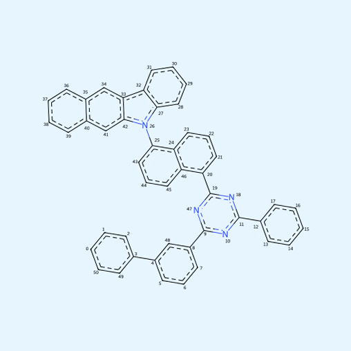 c1ccc(-c2cccc(-c3nc(-c4ccccc4)nc(-c4cccc5c(-n6c7ccccc7c7cc8ccccc8cc76)cccc45)n3)c2)cc1